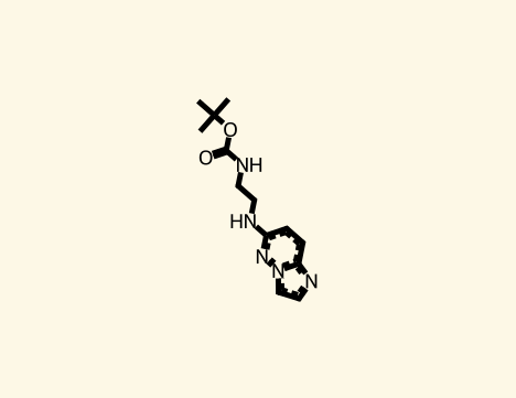 CC(C)(C)OC(=O)NCCNc1ccc2nccn2n1